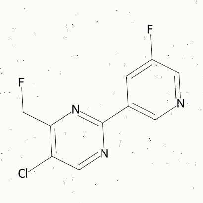 FCc1nc(-c2cncc(F)c2)ncc1Cl